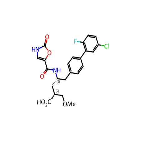 COC[C@H](C[C@@H](Cc1ccc(-c2cc(Cl)ccc2F)cc1)NC(=O)c1c[nH]c(=O)o1)C(=O)O